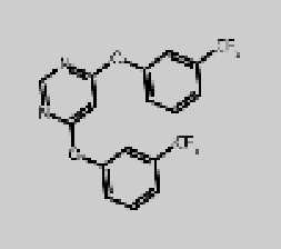 FC(F)(F)c1cccc(Oc2cc(Oc3cccc(C(F)(F)F)c3)ncn2)c1